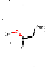 CCCCCCC(OCC)C(F)(F)F